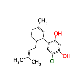 CC(C)=CCC1CCC(C)=CC1c1cc(Cl)c(O)cc1O